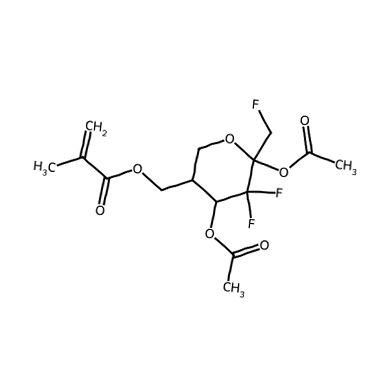 C=C(C)C(=O)OCC1COC(CF)(OC(C)=O)C(F)(F)C1OC(C)=O